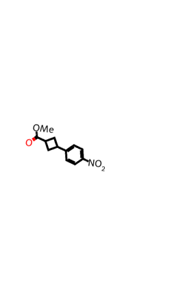 COC(=O)C1CC(c2ccc([N+](=O)[O-])cc2)C1